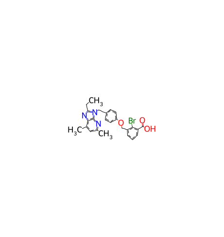 CCc1nc2c(C)cc(C)nc2n1Cc1ccc(OCc2cccc(C(=O)O)c2Br)cc1